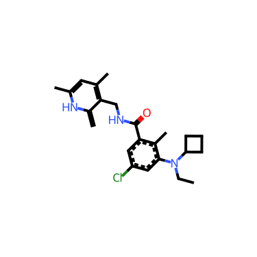 C=C1NC(C)=CC(C)=C1CNC(=O)c1cc(Cl)cc(N(CC)C2CCC2)c1C